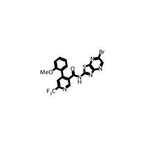 COc1ccccc1-c1cc(C(F)(F)F)ncc1C(=O)Nc1nc2ncc(Br)nc2s1